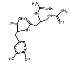 N=C(N)NCC(CC(=O)NC(Cc1ccc(O)c(O)c1)C(=O)O)NC(=N)N